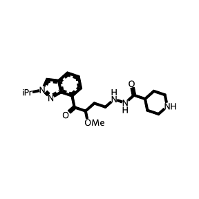 COC(CCNNC(=O)C1CCNCC1)C(=O)c1cccc2cn(C(C)C)nc12